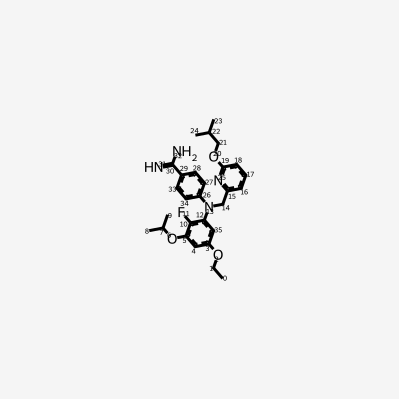 CCOc1cc(OC(C)C)c(F)c(N(Cc2cccc(OCC(C)C)n2)c2ccc(C(=N)N)cc2)c1